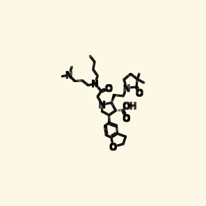 CCCCN(CCCN(C)C)C(=O)CN1C[C@H](c2ccc3c(c2)CCO3)[C@@H](C(=O)O)[C@@H]1CCN1CCC(C)(C)C1=O